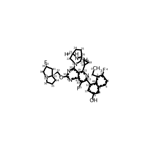 CCc1c(F)ccc2cc(O)cc(-c3nc(C4CC4)c4c(N5C[C@H]6CC[C@@H](C5)N6)nc(OC[C@@]56CCCN5C[C@H](F)C6)nc4c3F)c12